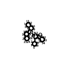 c1ccc(-c2nc(-n3c4ccc5ccccc5c4c4ccc5ccccc5c43)nc3oc4ccccc4c23)cc1